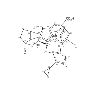 O=C(O)c1cc(F)c2nc([C@@]3(O)[C@@H]4CC[C@H]3C[C@@H](OCc3c(-c5c(Cl)cncc5Cl)noc3C3CC3)C4)sc2c1